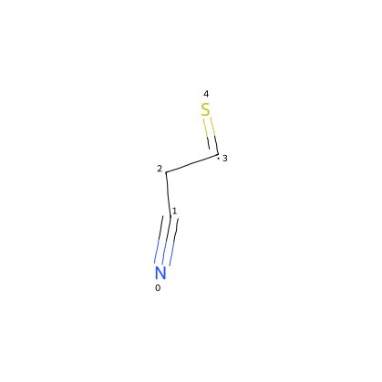 N#CC[C]=S